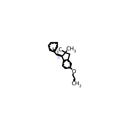 C=CCOc1ccc2c(c1)CC(C)(C)/C2=C\c1ccccc1